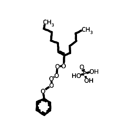 CCCCCC=C(CCCCC)OOOOOOc1ccccc1.O=P(O)(O)O